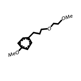 COCCOCCCc1ccc(OC)cc1